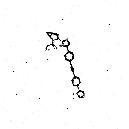 CC(C)CC(=O)N1C2CC2=C[C@H]1c1ncc(-c2ccc(C#Cc3ccc(-c4cnc[nH]4)cc3)cc2)[nH]1